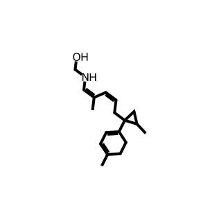 CC1=CC=C(C2(C/C=C\C(C)=C/NCO)CC2C)CC1